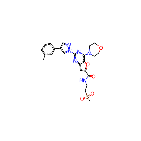 Cc1cccc(-c2cnn(-c3nc(N4CCOCC4)c4oc(C(=O)NCCS(C)(=O)=O)cc4n3)c2)c1